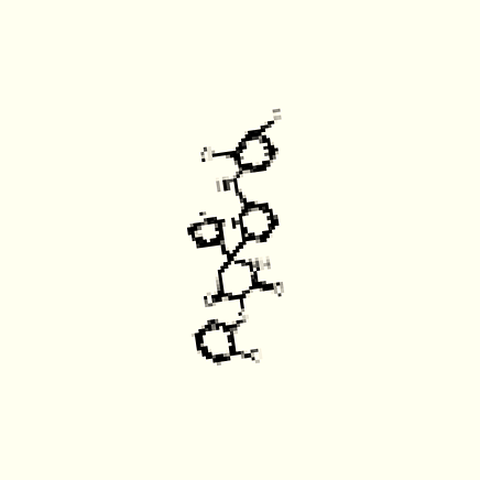 O=C1CC(c2ccsc2)(c2cccc(Nc3ccc(F)cc3Cl)n2)NC(=O)C1Sc1ccccc1Cl